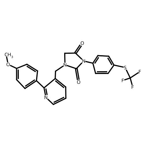 COc1ccc(-c2ncccc2CN2CC(=O)N(c3ccc(SC(F)(F)F)cc3)C2=O)cc1